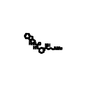 CNCCCC(=N)N1CCCC(NC(=O)NCc2cc3ccccc3[nH]2)C1